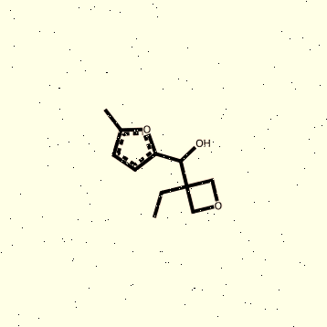 CCC1(C(O)c2ccc(C)o2)COC1